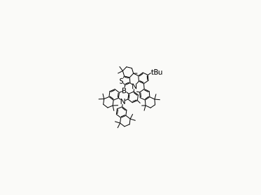 Cc1cc2c3c(c1)N1c4c(-c5cc6c(cc5C)C(C)(C)CCC6(C)C)cc(C(C)(C)C)cc4C4(C)CCC(C)(C)c5sc(c1c54)B3c1ccc3c(c1N2c1ccc2c(c1)C(C)(C)CCC2(C)C)C(C)(C)CCC3(C)C